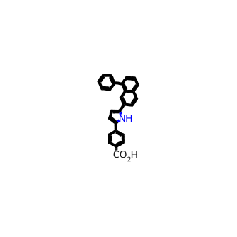 O=C(O)c1ccc(-c2ccc(-c3ccc4cccc(-c5ccccc5)c4c3)[nH]2)cc1